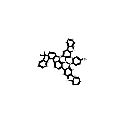 CC(C)(C)c1ccc(N2B3c4cc5oc6ccccc6c5cc4-n4c5ccc6c(c5c5ccc(c3c54)-c3cc4sc5ccccc5c4cc32)-c2ccccc2C6(C)C)cc1